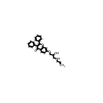 C=CCNCC(O)COc1ccc2c(=O)c(-c3ccccc3)c(-c3ccccc3)oc2c1